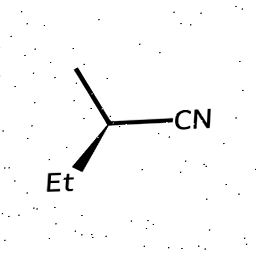 CC[C@@H](C)C#N